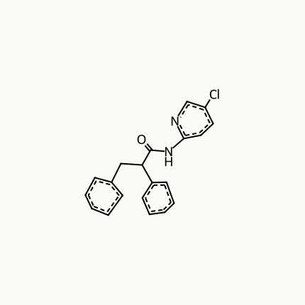 O=C(Nc1ccc(Cl)cn1)C(Cc1ccccc1)c1ccccc1